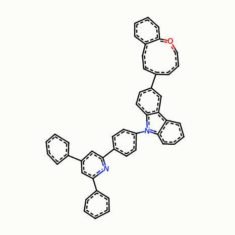 c1ccc(-c2cc(-c3ccccc3)nc(-c3ccc(-n4c5ccccc5c5cc(-c6cccoc7ccccc7cc6)ccc54)cc3)c2)cc1